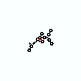 C(=C/c1cc(-c2ccccc2)c(-c2ccc(N(c3ccc(-c4ccccc4)cc3)c3ccc(-c4ccccc4)cc3)cc2)c(-c2ccccc2)c1)/C(=C\C=C\Nc1ccc(-c2ccccc2)cc1)c1ccccc1